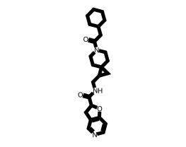 O=C(NCC1CC12CCN(C(=O)CC1CCCCC1)CC2)C1Cc2cnccc2O1